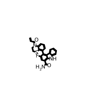 C=CC(=O)N1CCSc2c(-c3c(F)cc(C(N)=O)c4[nH]c5ccccc5c34)cccc21